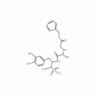 CC(C)C(NCC(=O)OCc1ccccc1)C(=O)NC(Cc1ccc(O)c(C(C)(C)C)c1)C(N)S(C)(=O)=O